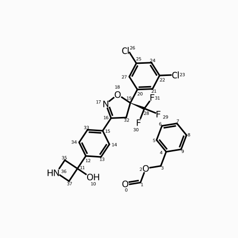 O=COCc1ccccc1.OC1(c2ccc(C3=NO[C@@](c4cc(Cl)cc(Cl)c4)(C(F)(F)F)C3)cc2)CNC1